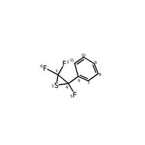 FC1(F)SC1(F)c1ccccc1